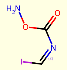 NOC(=O)/N=C\I